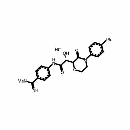 CNC(=N)c1ccc(NC(=O)[C@H](O)C2OCCN(c3ccc(C(C)(C)C)cc3)C2=O)cc1.Cl